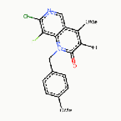 CCc1c(OC)c2cnc(Cl)c(F)c2n(Cc2ccc(OC)cc2)c1=O